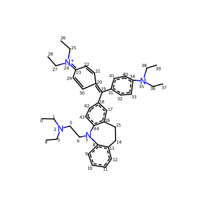 CCN(CC)CCN1c2ccccc2CCc2cc(C(=C3C=CC(=[N+](CC)CC)C=C3)c3ccc(N(CC)CC)cc3)ccc21